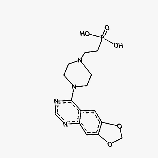 O=P(O)(O)CCN1CCN(c2ncnc3cc4c(cc23)OCO4)CC1